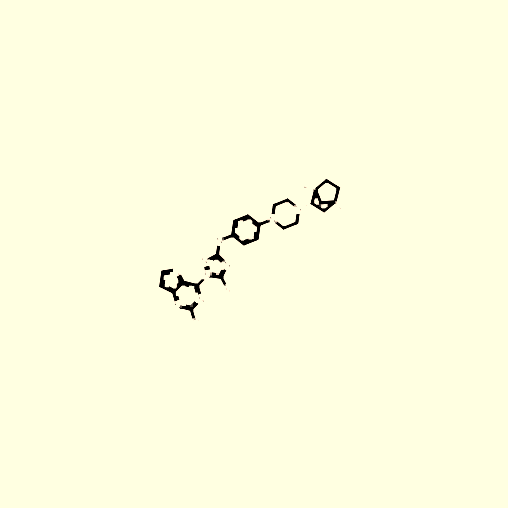 Nc1nc(Nc2ccc(N3CCN([C@H]4C[C@@H]5CC[C@H]4C5)CC3)cc2)nn1-c1nc(Cl)nc2ccsc12